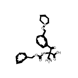 NCC(NC(=O)OCc1ccccc1)(C(=O)O)C(=O)c1cccc(CON2CCCCC2)c1